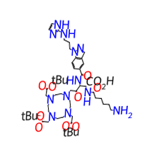 CC(C)(C)OC(=O)CN1CCN(CC(=O)OC(C)(C)C)CCN(CC(=O)C(NC(=O)c2ccc3c(cnn3CCCNc3ncc[nH]3)c2)C(NC(=O)CCCCCN)C(=O)O)CCN(CC(=O)OC(C)(C)C)CC1